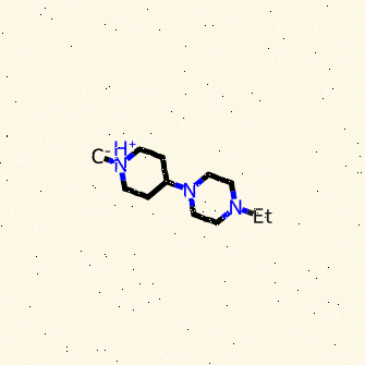 [CH2-][NH+]1CCC(N2CCN(CC)CC2)CC1